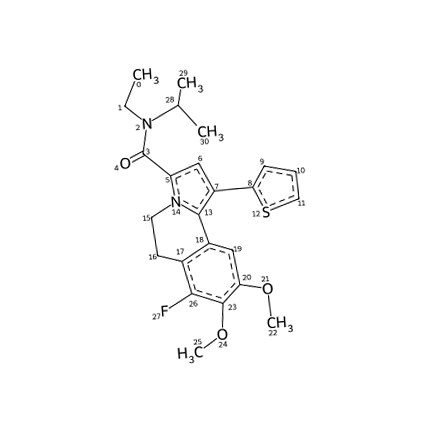 CCN(C(=O)c1cc(-c2cccs2)c2n1CCc1c-2cc(OC)c(OC)c1F)C(C)C